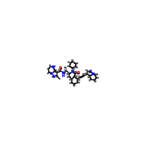 Cc1nn2cccnc2c1C(=O)N[C@H](C)c1cc2cccc(C#Cc3cnn4ccccc34)c2c(=O)n1-c1ccccc1